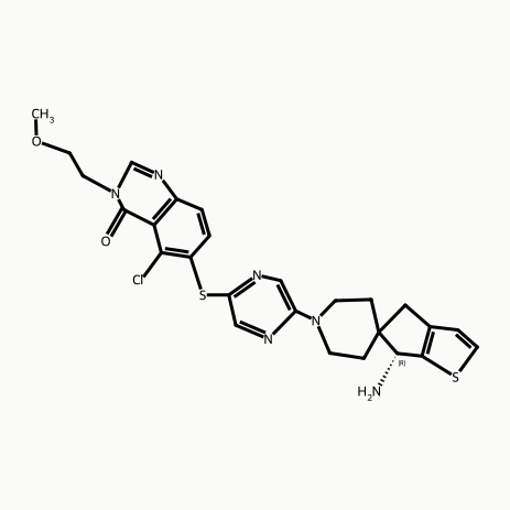 COCCn1cnc2ccc(Sc3cnc(N4CCC5(CC4)Cc4ccsc4[C@@H]5N)cn3)c(Cl)c2c1=O